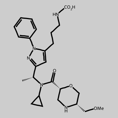 COC[C@H]1CO[C@@H](C(=O)N(C2CC2)[C@H](C)c2cc(CCCNC(=O)O)n(-c3ccccc3)n2)CN1